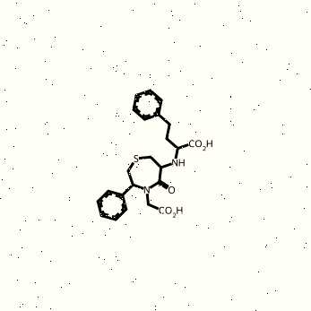 O=C(O)CN1C(=O)C(NC(CCc2ccccc2)C(=O)O)CSCC1c1ccccc1